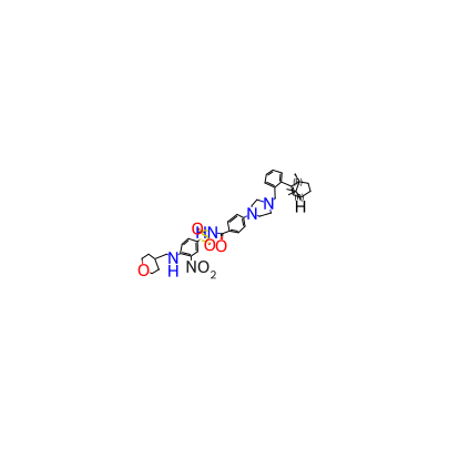 CC1(C)[C@H]2C=C(c3ccccc3CN3CCN(c4ccc(C(=O)NS(=O)(=O)c5ccc(NCC6CCOCC6)c([N+](=O)[O-])c5)cc4)CC3)[C@]1(C)CC2